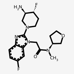 CN(C(=O)Cn1c(N2CC[C@@H](F)[C@H](N)C2)nc2ccc(F)cc21)[C@H]1CCOC1